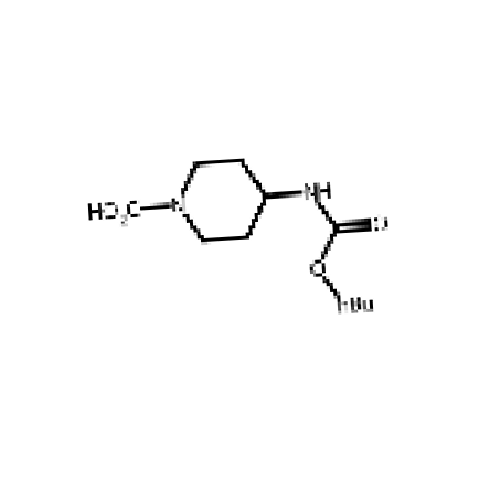 CCCCOC(=O)NC1CCN(C(=O)O)CC1